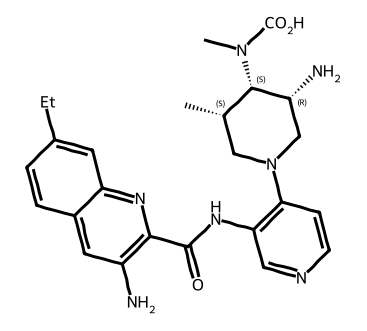 CCc1ccc2cc(N)c(C(=O)Nc3cnccc3N3C[C@@H](N)[C@@H](N(C)C(=O)O)[C@@H](C)C3)nc2c1